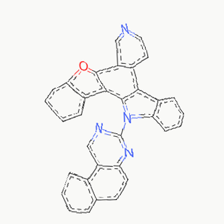 c1ccc2c(c1)ccc1nc(-n3c4ccccc4c4c5ccncc5c5oc6ccccc6c5c43)ncc12